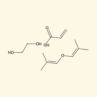 C=CC(=O)O.CC(C)=COC=C(C)C.OCCO